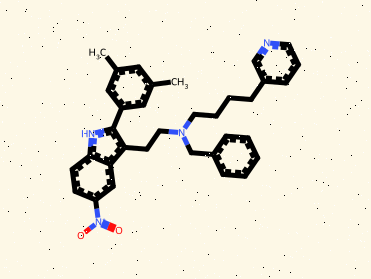 Cc1cc(C)cc(-c2[nH]c3ccc([N+](=O)[O-])cc3c2CCN(CCCCc2cccnc2)Cc2ccccc2)c1